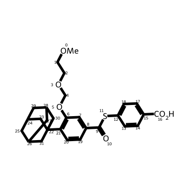 COCCOCOc1cc(C(=O)Sc2ccc(C(=O)O)cc2)ccc1C12CC3CC(CC(C3)C1)C2